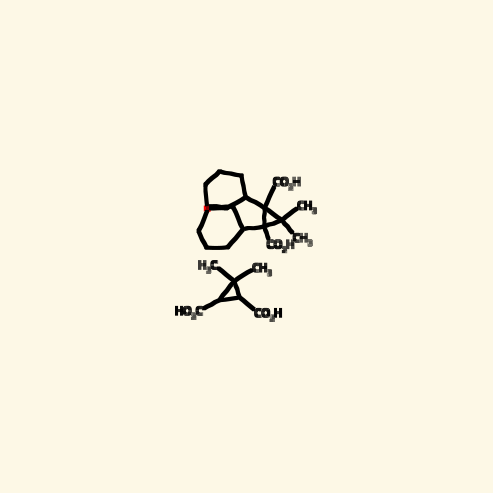 CC1(C)C(C(=O)O)(C2CCCCC2)C1(C(=O)O)C1CCCCC1.CC1(C)C(C(=O)O)C1C(=O)O